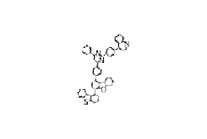 c1ccc(-c2cc(-c3ccc(-c4ccc(-c5cccc6sc7ccccc7c56)c5oc6ccccc6c45)cc3)nc(-c3ccc(-c4ccnc5ccccc45)cc3)n2)cc1